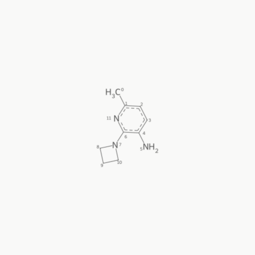 Cc1ccc(N)c(N2CCC2)n1